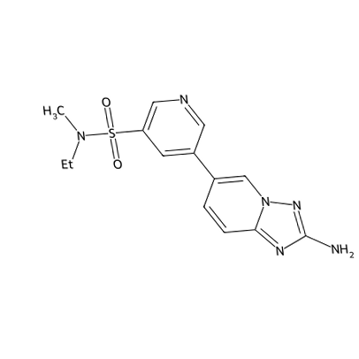 CCN(C)S(=O)(=O)c1cncc(-c2ccc3nc(N)nn3c2)c1